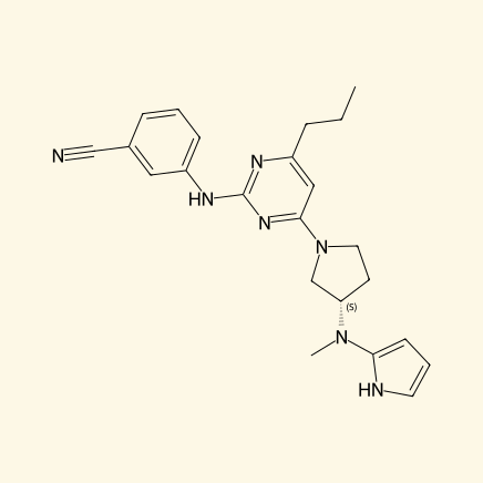 CCCc1cc(N2CC[C@H](N(C)c3ccc[nH]3)C2)nc(Nc2cccc(C#N)c2)n1